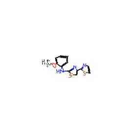 COc1ccccc1Nc1nc(-c2nccs2)cs1